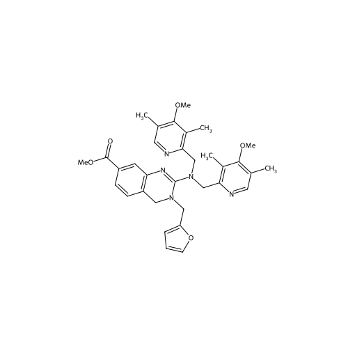 COC(=O)c1ccc2c(c1)N=C(N(Cc1ncc(C)c(OC)c1C)Cc1ncc(C)c(OC)c1C)N(Cc1ccco1)C2